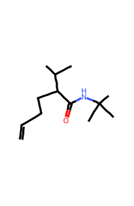 C=CCCC(C(=O)NC(C)(C)C)C(C)C